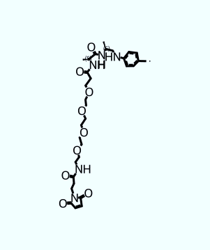 [CH2]c1ccc(NC[C@H](C)NC(=O)[C@H](C)NC(=O)CCOCCOCCOCCOCCNC(=O)CCN2C(=O)C=CC2=O)cc1